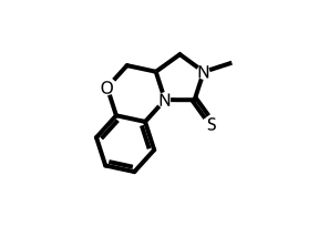 CN1CC2COc3ccccc3N2C1=S